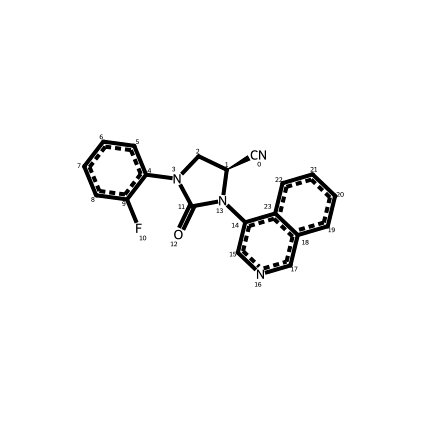 N#C[C@@H]1CN(c2ccccc2F)C(=O)N1c1cncc2ccccc12